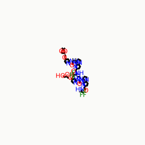 C[C@@H](NC(=O)c1ccc2c(n1)N(C(=O)Nc1cc(OC[C@H](O)CO)ccn1)[C@@]1(NCC[C@@H](NC(=O)c3ccc4c(n3)N(C(=O)Nc3cc(OC[C@H]5COC(C)(C)O5)ccn3)[C@H]3CCN4C3)C(F)(F)F)CCN2C1)C(F)(F)F